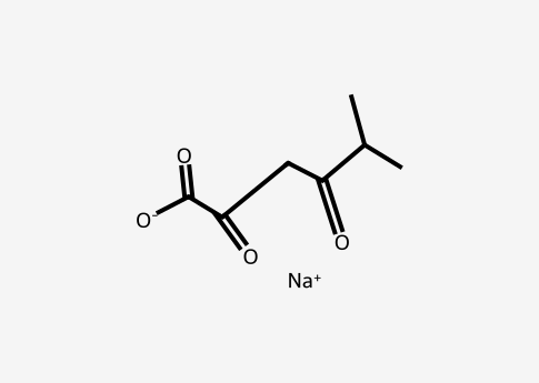 CC(C)C(=O)CC(=O)C(=O)[O-].[Na+]